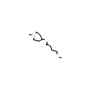 CSCCCC(=O)OC1CCN(C)CC1